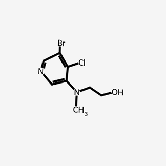 CN(CCO)c1cncc(Br)c1Cl